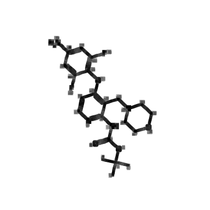 CC(C)(C)OC(=O)Nc1nccc(Oc2c(F)cc(N)cc2F)c1CN1CCOCC1